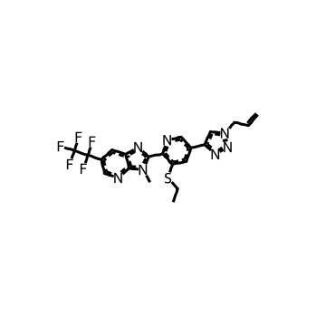 C=CCn1cc(-c2cnc(-c3nc4cc(C(F)(F)C(F)(F)F)cnc4n3C)c(SCC)c2)nn1